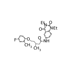 CCn1c(=O)c2cc(NC(=O)CC(C)CCOc3ccc(F)cc3C)ccc2n(CC)c1=O